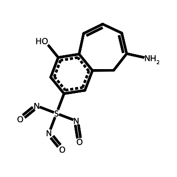 NC1=CC=Cc2c(O)cc(S(N=O)(N=O)N=O)cc2C1